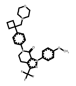 COc1ccc(-n2nc(C(F)(F)F)c3c2C(=O)N(c2ccc(C4(CN5CCOCC5)CCC4)cc2)CC3)cc1